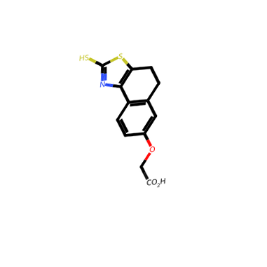 O=C(O)COc1ccc2c(c1)CCc1sc(S)nc1-2